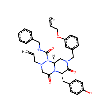 C=CCOc1cccc(CN2C[C@H]3N(C(=O)CN(CC=C)N3C(=O)NCc3ccccc3)[C@@H](Cc3ccc(O)cc3)C2=O)c1